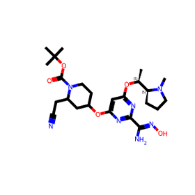 C[C@H](Oc1cc(OC2CCN(C(=O)OC(C)(C)C)C(CC#N)C2)nc(C(N)=NO)n1)[C@@H]1CCCN1C